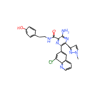 Cn1ccc(-c2nc(N)c(C(=O)NCCc3ccc(O)cc3)nc2-c2cc(Cl)c3ncccc3c2)n1